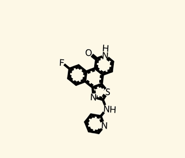 O=c1[nH]ccc2c3sc(Nc4ccccn4)nc3c3ccc(F)cc3c12